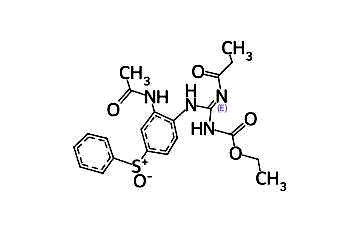 CCOC(=O)N/C(=N/C(=O)CC)Nc1ccc([S+]([O-])c2ccccc2)cc1NC(C)=O